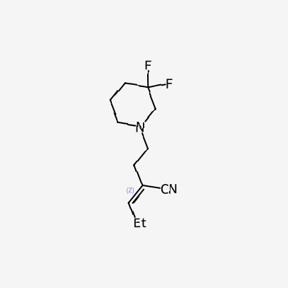 CC/C=C(\C#N)CCN1CCCC(F)(F)C1